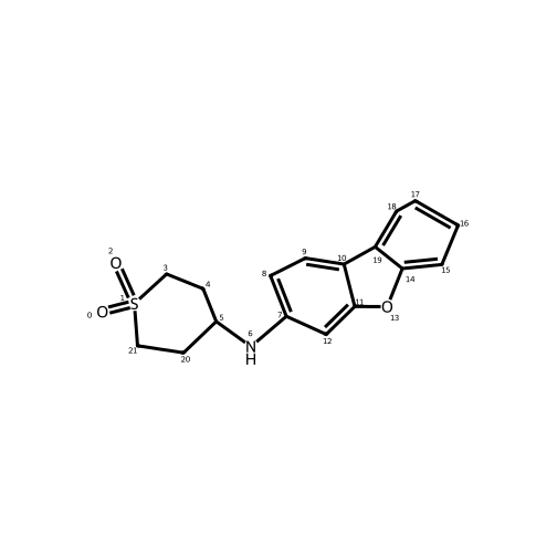 O=S1(=O)CCC(Nc2ccc3c(c2)oc2ccccc23)CC1